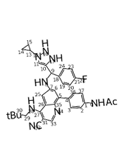 CC(=O)Nc1ccc(-c2cc(NC(C3=CN(C4CC4)NN3)c3ccc(F)cc3)cc3c(NCC(C)(C)C)c(C#N)cnc23)cc1